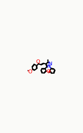 COc1ccc(C(=O)/C=C/c2c(C)nn(-c3ccccc3)c2-c2ccccc2OC)cc1